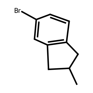 CC1Cc2ccc(Br)cc2C1